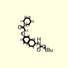 CC(C)(C)OC(=O)N[C@H]1CCc2ccc(OCC(=O)N3CCCCC3)cc2C1